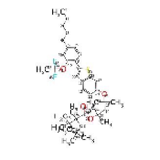 CCCCCc1ccc(-c2cc3ccc(OC(C)(C)CC(C)(C)OC(=O)C(C)(CC(C)(C)C)C(C)(C)C)cc3s2)c(OC(C)(F)F)c1